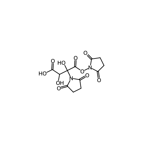 O=C(O)C(O)C(O)(C(=O)ON1C(=O)CCC1=O)N1C(=O)CCC1=O